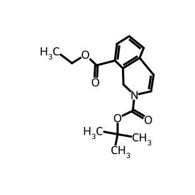 CCOC(=O)c1cccc2c1CN(C(=O)OC(C)(C)C)C=C2